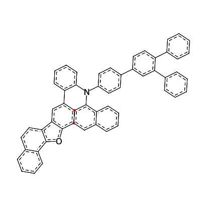 c1ccc(-c2ccc(-c3ccc(N(c4ccccc4-c4ccc5oc6c7ccccc7ccc6c5c4)c4cccc5ccccc45)cc3)cc2-c2ccccc2)cc1